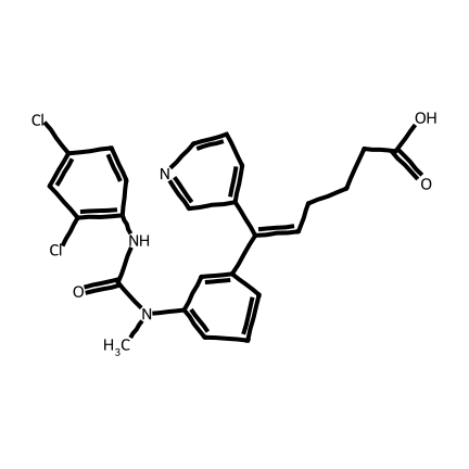 CN(C(=O)Nc1ccc(Cl)cc1Cl)c1cccc(C(=CCCCC(=O)O)c2cccnc2)c1